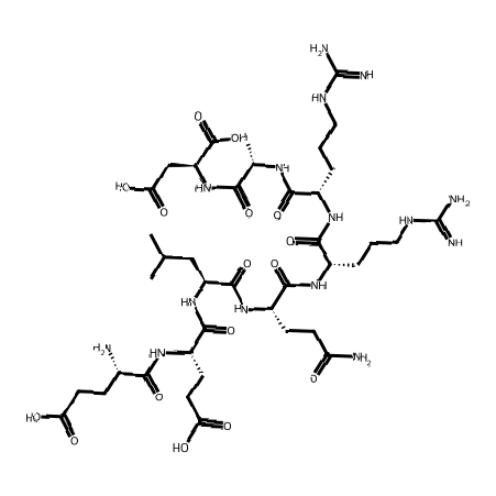 CC(C)C[C@H](NC(=O)[C@H](CCC(=O)O)NC(=O)[C@@H](N)CCC(=O)O)C(=O)N[C@@H](CCC(N)=O)C(=O)N[C@@H](CCCNC(=N)N)C(=O)N[C@@H](CCCNC(=N)N)C(=O)N[C@@H](C)C(=O)N[C@@H](CC(=O)O)C(=O)O